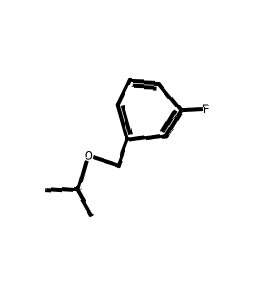 C[C](C)OCc1cccc(F)c1